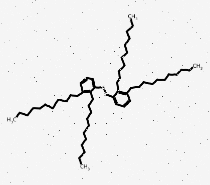 CCCCCCCCCCCc1cccc(SSc2cccc(CCCCCCCCCCC)c2CCCCCCCCCCC)c1CCCCCCCCCCC